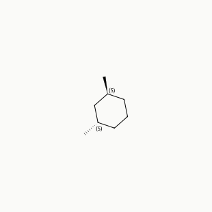 C[C@H]1CCC[C@H](C)C1